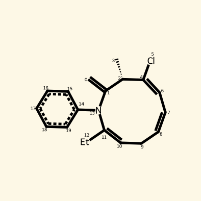 C=C1[C@H](C)/C(Cl)=C\C=C/C/C=C(/CC)N1c1ccccc1